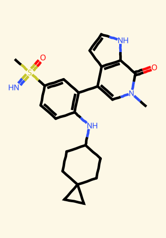 Cn1cc(-c2cc(S(C)(=N)=O)ccc2NC2CCC3(CC2)CC3)c2cc[nH]c2c1=O